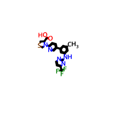 Cc1cc(Nc2nccc(C(F)(F)F)n2)cc(-c2ccc(N3CSCC3C(=O)O)nc2)c1